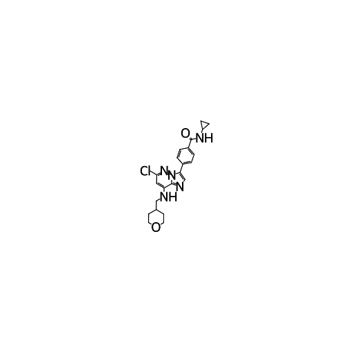 O=C(NC1CC1)c1ccc(-c2cnc3c(NCC4CCOCC4)cc(Cl)nn23)cc1